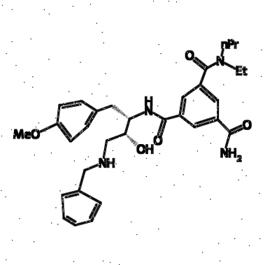 CCCN(CC)C(=O)c1cc(C(N)=O)cc(C(=O)N[C@@H](Cc2ccc(OC)cc2)[C@H](O)CNCc2ccccc2)c1